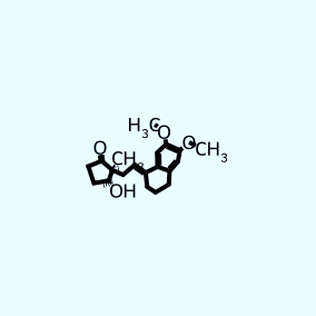 COc1cc2c(cc1OC)C(=CC[C@]1(C)C(=O)CC[C@H]1O)CCC2